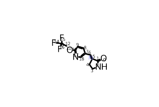 O=C1NCC/C1=C\c1ccc(OCC(F)(F)F)nc1